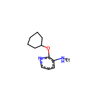 CCNc1cccnc1OC1CCCCC1